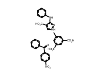 Cc1cc(C(=O)O)cc(C(=O)O)c1.O=C(O)c1c[nH]nc1Nc1ccccc1.O=C(c1ccccc1)c1ccc([N+](=O)[O-])cc1